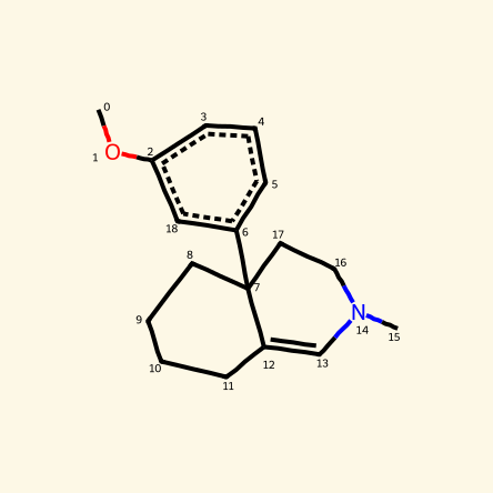 COc1cccc(C23CCCCC2=CN(C)CC3)c1